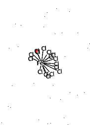 [Cl][Fe]([Cl])([Cl])([Cl])([Cl])([Cl])([Cl])([Cl])([Cl])([Cl])([Cl])([Cl])([Cl])([Cl])([Cl])[Cl]